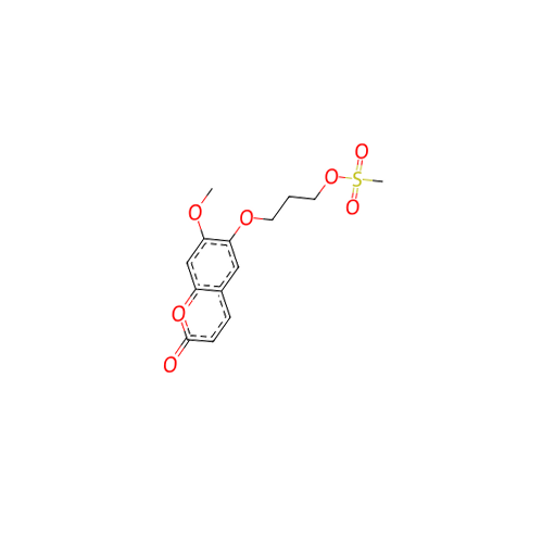 COc1cc2oc(=O)ccc2cc1OCCCOS(C)(=O)=O